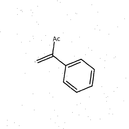 [CH]=C(C(C)=O)c1ccccc1